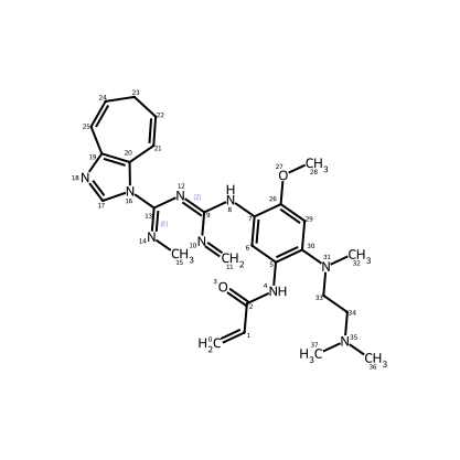 C=CC(=O)Nc1cc(N/C(N=C)=N/C(=N\C)n2cnc3c2C=CCC=C3)c(OC)cc1N(C)CCN(C)C